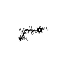 C=C(CCNC(=O)COc1ccc(C)cc1)NC(=O)COC1(C)CC1